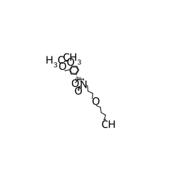 C#CCCCCOCCCCN1C[C@@H](c2ccc3c(c2)COC(C)(C)O3)OC1=O